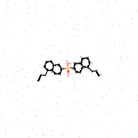 C=CCc1cccc2cc(P(=O)(O)c3ccc4c(CC=C)cccc4c3)ccc12